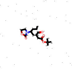 CCCC(C[C@@H](C=O)CC(=O)OC(C)(C)C)N1CCOC1=O